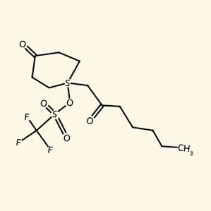 CCCCCC(=O)CS1(OS(=O)(=O)C(F)(F)F)CCC(=O)CC1